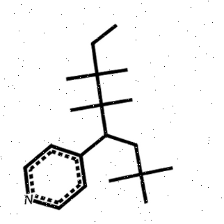 CCC(C)(C)C(C)(C)C(CC(C)(C)C)c1ccncc1